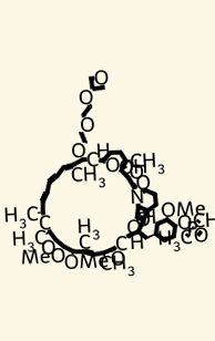 CO[C@@H]1/C(C)=C/[C@@H](C)C(=O)C[C@@H]2OC(=O)C3[C@H](CCCN3C(=O)C(=O)[C@]3(O)O[C@@H](CC[C@H]3C)CC(OCCOCCOC3COC3)/C(C)=C/C=C/C=C/[C@@H](C)C[C@@H](C)C(=O)[C@@H]1OC)C2C[C@@H]1CC[C@@H](OP(C)(C)=O)[C@H](OC)C1